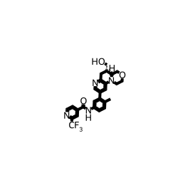 Cc1ccc(NC(=O)c2ccnc(C(F)(F)F)c2)cc1-c1cnc2c(c1)N1CCOC[C@H]1[C@@H](CO)C2